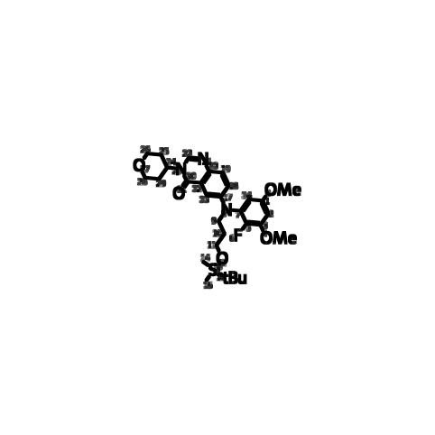 COc1cc(OC)c(F)c(N(CCCO[Si](C)(C)C(C)(C)C)c2ccc3ncn(C4CCOCC4)c(=O)c3c2)c1